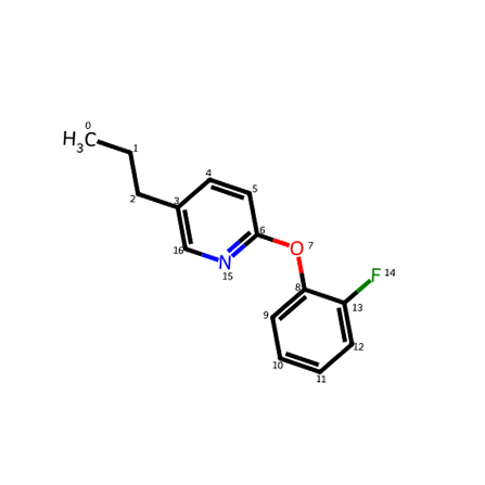 CCCc1ccc(Oc2ccccc2F)nc1